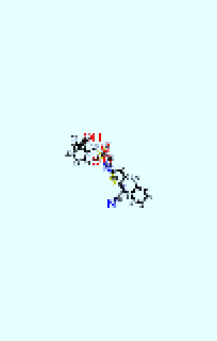 Cc1ccccc1/C(C#N)=C1C=C/C(=N\OS(=O)(=O)CC23CCC(CC2O)C3(C)C)S\1